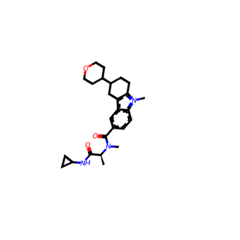 C[C@@H](C(=O)NC1CC1)N(C)C(=O)c1ccc2c(c1)c1c(n2C)CCC(C2CCOCC2)C1